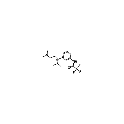 CC(C)[C@H](CCN(C)C)c1cccc(NC(=O)C(F)(F)F)c1